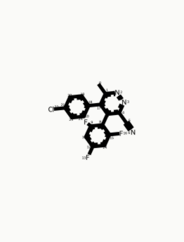 Cc1nnc(C#N)c(-c2c(F)cc(F)cc2F)c1-c1ccc(Cl)cc1